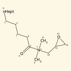 CCCCCCCCCCCC(=O)[N+](C)(C)CC1CO1